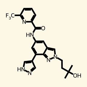 CC(C)(O)CCn1cc2cc(NC(=O)c3cccc(C(F)(F)F)n3)cc(-c3cn[nH]c3)c2n1